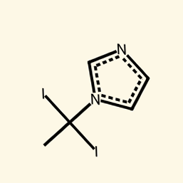 CC(I)(I)n1ccnc1